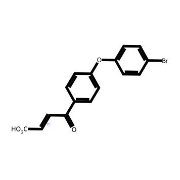 O=C(O)/C=C/C(=O)c1ccc(Oc2ccc(Br)cc2)cc1